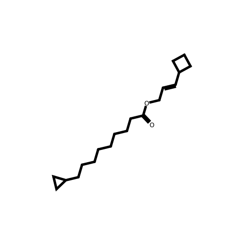 O=C(CCCCCCCCC1CC1)OCC=CC1CCC1